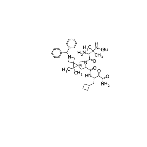 CC(C)(C)NC(C)(C)C(N)C(=O)N1C[C@]2(CC1C(=O)NC(CC1CCC1)C(=O)C(N)=O)C(C)(C)C21CN(C(c2ccccc2)c2ccccc2)C1